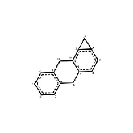 c1ccc2c(c1)Cc1ccc3c(c1C2)C3